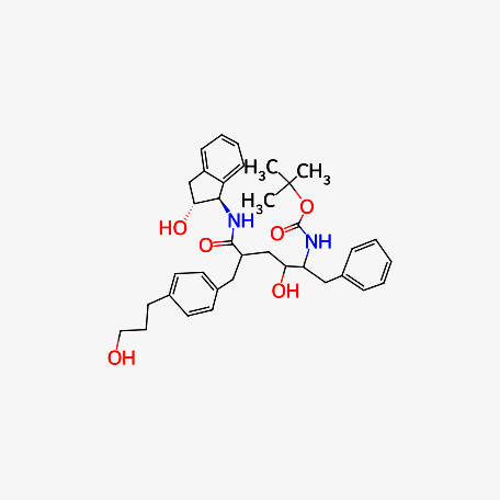 CC(C)(C)OC(=O)NC(Cc1ccccc1)C(O)CC(Cc1ccc(CCCO)cc1)C(=O)N[C@@H]1c2ccccc2C[C@H]1O